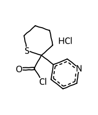 Cl.O=C(Cl)C1(c2cccnc2)CCCCS1